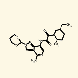 CC[C@@H]1CC[C@@H](C)N(C(=O)C(=O)Nc2cnc(N)c3cn(C4CCCCO4)nc23)C1